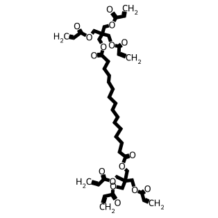 C=CC(=O)OCC(COC(=O)C=C)(COC(=O)C=C)COC(=O)CCCCCCCCCCCCCCC(=O)OCC(COC(=O)C=C)(COC(=O)C=C)COC(=O)C=C